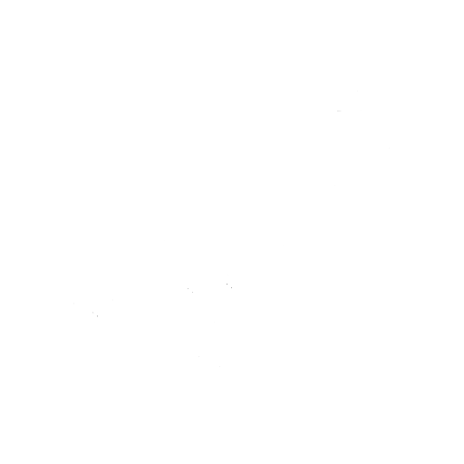 CC1(C)c2cccc(-c3ccc(-c4ccc(-c5cc(-c6cccc(-c7cccnc7)c6)nc(-c6ccccc6)n5)c5ccccc45)cc3)c2-c2c1ccc1ccccc21